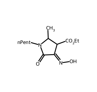 CCCCCN1C(=O)C(=NO)C(C(=O)OCC)C1C